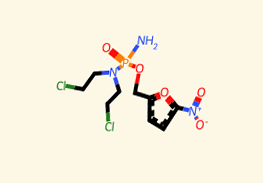 NP(=O)(OCc1ccc([N+](=O)[O-])o1)N(CCCl)CCCl